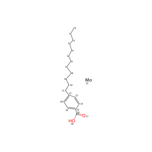 CCCCCCCCCCCCc1ccc(C(=O)O)cc1.[Mo]